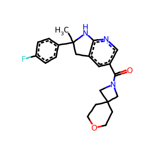 CC1(c2ccc(F)cc2)Cc2cc(C(=O)N3CC4(CCOCC4)C3)cnc2N1